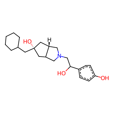 Oc1ccc(C(O)CN2CC3C[C@@](O)(CC4CCCCC4)C[C@@H]3C2)cc1